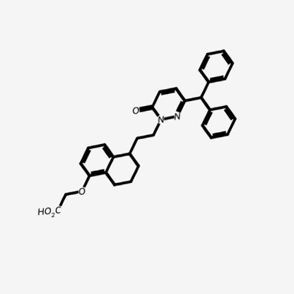 O=C(O)COc1cccc2c1CCCC2CCn1nc(C(c2ccccc2)c2ccccc2)ccc1=O